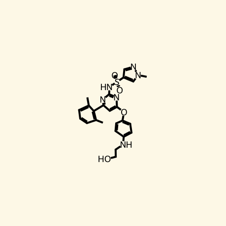 Cc1cccc(C)c1-c1cc(Oc2ccc(NCCO)cc2)nc(NS(=O)(=O)c2cnn(C)c2)n1